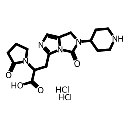 Cl.Cl.O=C(O)C(Cc1ncc2n1C(=O)N(C1CCNCC1)C2)N1CCCC1=O